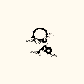 COC(=O)Cc1cc(O[C@@H]2C[C@H]3C(=O)N[C@]4(C(=O)OC)CC4/C=C\CCCCC[C@H](N)C(=O)N3C2)c2ccc(OC)cc2n1